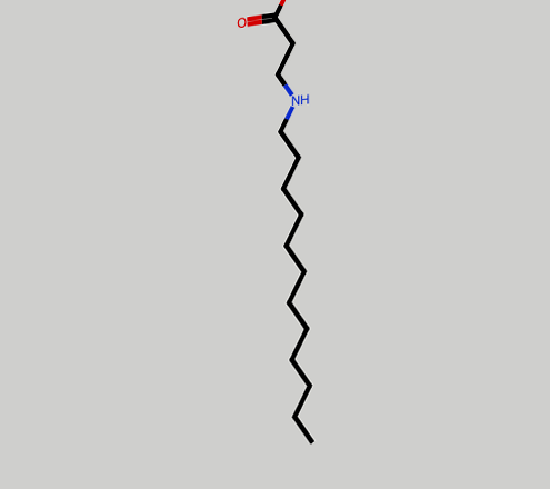 CCCCCCCCCCCCNCCC(=O)O